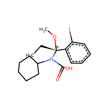 CC[C@@](OC)(c1ccccc1I)N(C(=O)O)C1CCCCC1